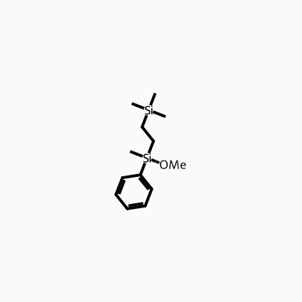 CO[Si](C)(CC[Si](C)(C)C)c1ccccc1